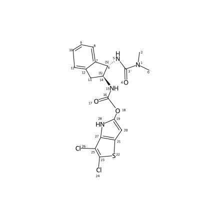 CN(C)C(=O)N[C@H]1c2ccccc2C[C@@H]1NC(=O)Oc1cc2sc(Cl)c(Cl)c2[nH]1